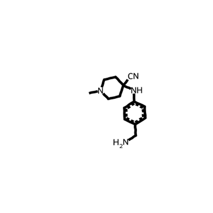 CN1CCC(C#N)(Nc2ccc(CN)cc2)CC1